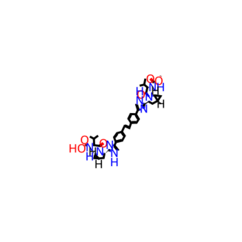 COC(=O)N[C@H](C(=O)N1[C@@H]2C[C@@H]2C[C@H]1c1nc(-c2ccc(C=Cc3ccc(-c4c[nH]c([C@@H]5C[C@H]6C[C@H]6N5C(=O)[C@@H](NC(=O)O)C(C)C)n4)cc3)cc2)c[nH]1)C(C)C